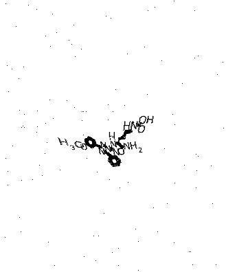 COc1cccc(-c2nc3c4ccccc4nc(N[C@@H](CCCCNC(=O)O)C(N)=O)n3n2)c1